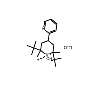 CC(C)(C)[C]1(C)CC(c2ccccn2)C[C](C)(C(C)(C)C)[Ti+2]1([OH])[OH].[Cl-].[Cl-]